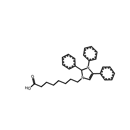 O=C(O)CCCCCCCN1C=C(c2ccccc2)N(c2ccccc2)C1c1ccccc1